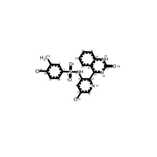 Cc1cc(S(=O)(=O)Nc2cc(Cl)cnc2-c2nc(=O)[nH]c3ccccc23)ccc1Cl